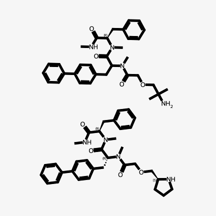 CNC(=O)[C@@H](Cc1ccccc1)N(C)C(=O)C(Cc1ccc(-c2ccccc2)cc1)N(C)C(=O)COCC(C)(C)N.CNC(=O)[C@@H](Cc1ccccc1)N(C)C(=O)[C@@H](Cc1ccc(-c2ccccc2)cc1)N(C)C(=O)COC[C@@H]1CCCN1